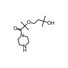 CC(C)(O)CCOC(C)(C)C(=O)N1CCNCC1